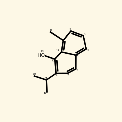 Cc1cccc2ccc(C(C)C)c(O)c12